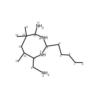 CCCCCC1NC(CN)C(C)CC(C)(C)C(N)N1